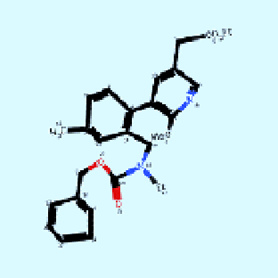 CCOC(=O)Cc1cnc(OC)c(-c2ccc(C)cc2CN(CC)C(=O)OCc2ccccc2)c1